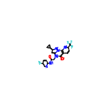 O=C(Cn1c(=O)c2ccc(C(F)(F)F)nc2n2nc(C3CC3)cc12)Nc1ccc(F)cn1